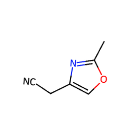 Cc1nc(CC#N)co1